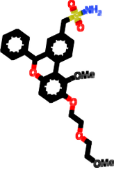 COCCOCCOc1ccc2c(c1OC)-c1ccc(CS(N)(=O)=O)cc1C(c1ccccc1)O2